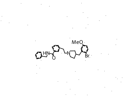 COc1ccc(Br)c(CC2CCN(CCc3cccc(C(=O)NCc4ccccc4)c3)CC2)c1